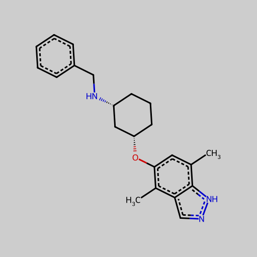 Cc1c(O[C@H]2CCC[C@@H](NCc3ccccc3)C2)cc(C)c2[nH]ncc12